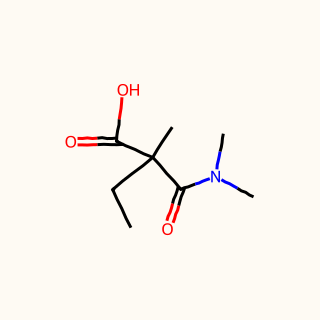 CCC(C)(C(=O)O)C(=O)N(C)C